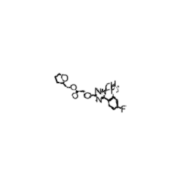 Cn1nc(OCC(=O)OCC2CCCO2)nc1-c1ccc(F)cc1F